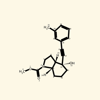 COC(=O)N1CC[C@H]2[C@@H]1CCC[C@]2(O)C#Cc1cccc(C)c1